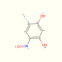 O=Nc1cc(F)c(O)cc1O